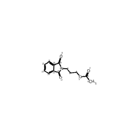 CC(=O)OCCCN1C(=O)c2ccccc2C1=O